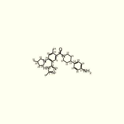 Cc1nnc(-c2cc(C(=O)N3CCC(c4ccc(N)cc4)CC3)c(C)cc2N2CCC(C)C2)[nH]1